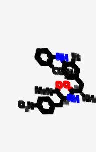 CCc1cc(C[C@H](NC(C)=O)C(=O)N[C@@H](Cc2ccc([N+](=O)[O-])cc2)C(=O)NC)ccc1Nc1ccccc1C(=O)O